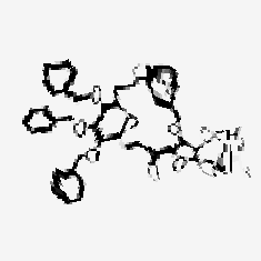 CCCC1O[C@H](/C=C/C(=O)C2OC(OC)C(OC)C2OCc2ccccc2)[C@@H](OCc2ccccc2)[C@H](OCc2ccccc2)[C@H]1OCc1ccccc1